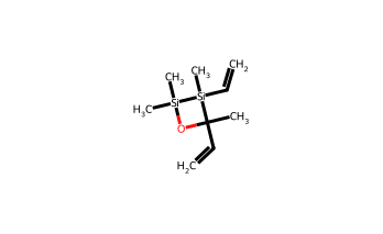 C=CC1(C)O[Si](C)(C)[Si]1(C)C=C